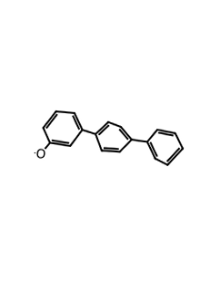 [O]c1cccc(-c2ccc(-c3ccccc3)cc2)c1